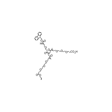 C=CCOC(=O)CCOCCOCCOCCN(C)C(=O)CN(CC(=O)N(C)CCOCCOCCOCCC(=O)O)C(=O)CCOCCNC(=O)OCC1c2ccccc2-c2ccccc21